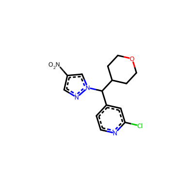 O=[N+]([O-])c1cnn(C(c2ccnc(Cl)c2)C2CCOCC2)c1